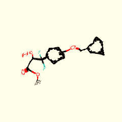 CCCOC(=O)C(O)C(F)(F)c1ccc(OCc2ccccc2)cc1